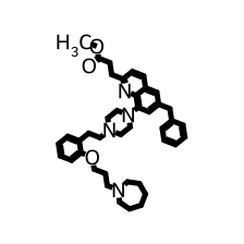 COC(=O)CCc1ccc2cc(Cc3ccccc3)cc(N3CCN(CCc4ccccc4OCCCN4CCCCCC4)CC3)c2n1